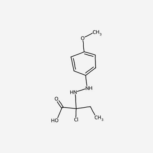 CCC(Cl)(NNc1ccc(OC)cc1)C(=O)O